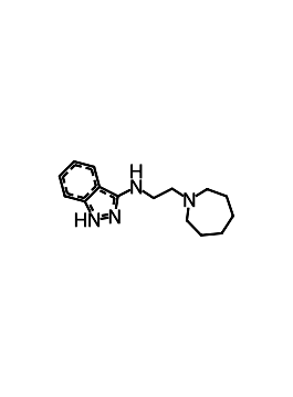 c1ccc2c(NCCN3CCCCCC3)n[nH]c2c1